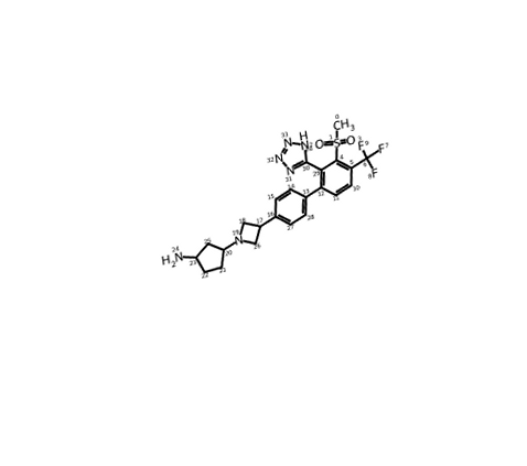 CS(=O)(=O)c1c(C(F)(F)F)ccc(-c2ccc(C3CN(C4CCC(N)C4)C3)cc2)c1-c1nnn[nH]1